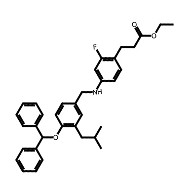 CCOC(=O)CCc1ccc(NCc2ccc(OC(c3ccccc3)c3ccccc3)c(CC(C)C)c2)cc1F